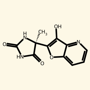 C[C@@]1(c2oc3cccnc3c2O)NC(=O)NC1=O